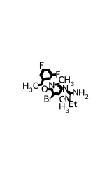 CCN(C)C(N)=Nc1cc(Br)c(OC(C)c2cc(F)cc(F)c2)nc1C